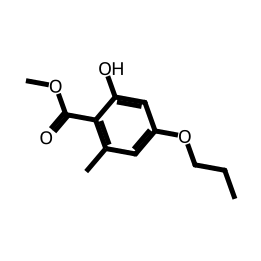 CCCOc1cc(C)c(C(=O)OC)c(O)c1